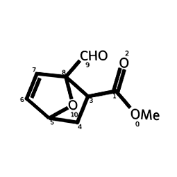 COC(=O)C1CC2C=CC1(C=O)O2